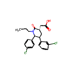 CCCN1C(=O)[C@H](CC(=O)O)CC(c2cccc(Cl)c2)C1c1ccc(Cl)cc1